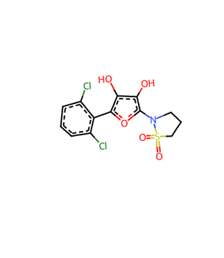 O=S1(=O)CCCN1c1oc(-c2c(Cl)cccc2Cl)c(O)c1O